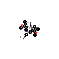 Cc1ccc(N(c2ccc3c(c2)C(C)(C)c2cc(-c4ccccc4-c4ccccc4)c4oc5ccccc5c4c2-3)c2ccc3c(c2)C(C)(C)c2c4c(c5oc6ccccc6c5c2-3)-c2ccccc2C4(C)C)cc1